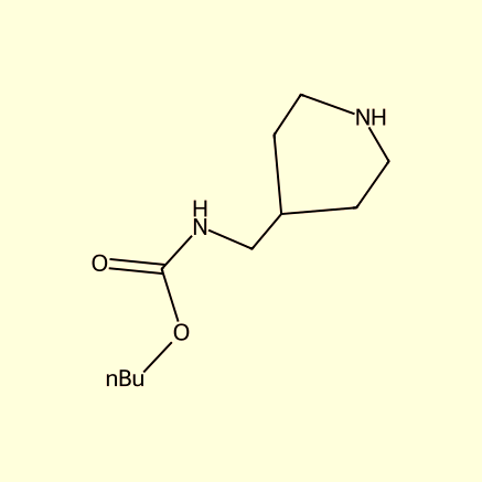 CCCCOC(=O)NCC1CCNCC1